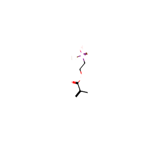 C=C(C)C(=O)OCCP(O)(=S)S